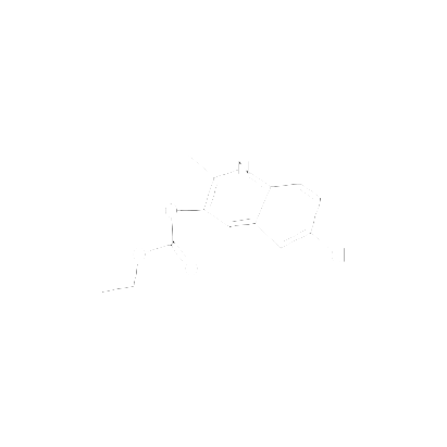 CCOC(=O)Oc1cc2cc(Cl)ccc2nc1C